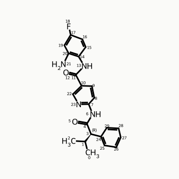 CC(C)[C@@H](C(=O)Nc1ccc(C(=O)Nc2ccc(F)cc2N)cn1)c1ccccc1